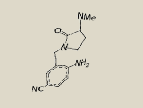 CNC1CCN(Cc2cc(C#N)ccc2N)C1=O